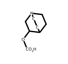 O=C(O)OC1CN2CCC1CC2